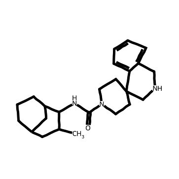 CC1CC2CCCC(C2)C1NC(=O)N1CCC2(CC1)CNCc1ccccc12